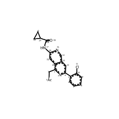 CC(=O)Cc1nc(-c2ccccc2Cl)cc2cnc(NC(=O)C3CC3)cc12